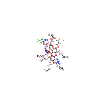 CCCCOC(=O)C1O[C@@H](O[C@@H]2C(COC(C)=O)O[C@H](OC(=N)C(Cl)(Cl)Cl)C(N=[N+]=[N-])C2OC(C)=O)C(OCCCC)C(OCCCC)[C@@H]1O[C@H]1OC(COC(C)=O)[C@@H](OCCCC)C(OCCCC)C1N=[N+]=[N-]